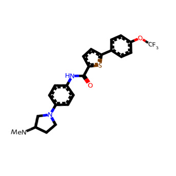 CNC1CCN(c2ccc(NC(=O)c3ccc(-c4ccc(OC(F)(F)F)cc4)s3)cc2)C1